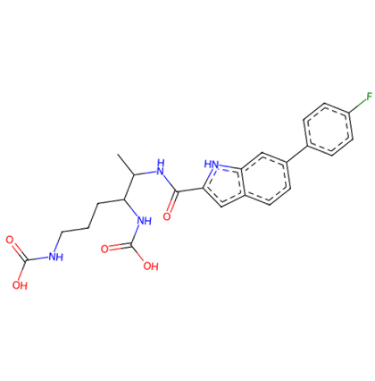 CC(NC(=O)c1cc2ccc(-c3ccc(F)cc3)cc2[nH]1)C(CCCNC(=O)O)NC(=O)O